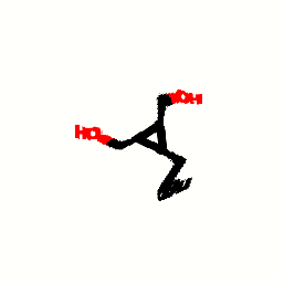 CC(C)(C)C[C@@H]1[C@H](CO)[C@@H]1CO